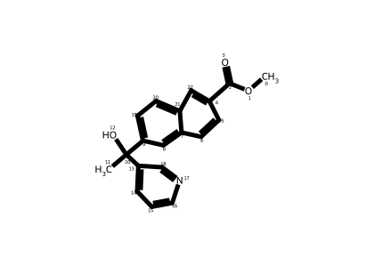 COC(=O)c1ccc2cc(C(C)(O)c3cccnc3)ccc2c1